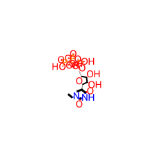 C=Cn1cc([C@@H]2O[C@H](COP(=O)(O)OP(=O)(O)OP(=O)(O)O)[C@@H](O)[C@H]2O)c(=O)[nH]c1=O